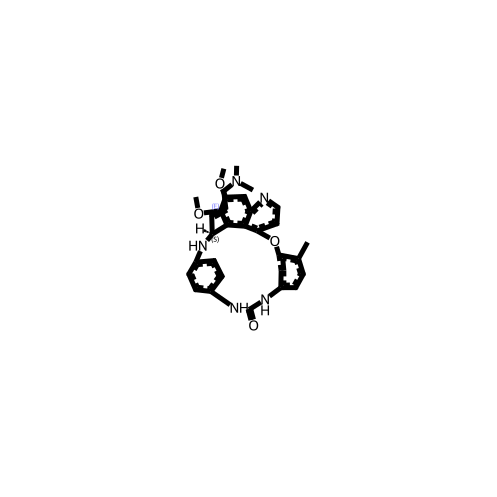 COc1cc2nccc3c2c(c1OC)[C@H](/C=C/CN(C)C)Nc1ccc(cc1)NC(=O)Nc1ccc(C)c(c1)O3